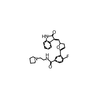 O=C1Nc2ccccc2/C1=C\C1CC=C(c2cc(C(=O)NCCN3CCCC3)ccc2F)O1